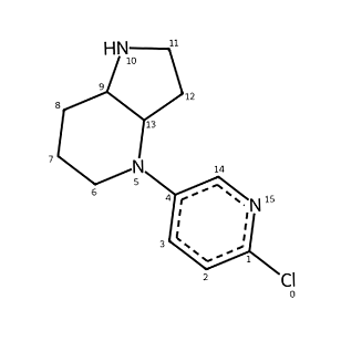 Clc1ccc(N2CCCC3NCCC32)cn1